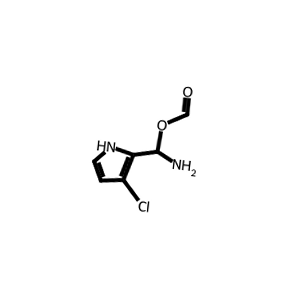 NC(OC=O)c1[nH]ccc1Cl